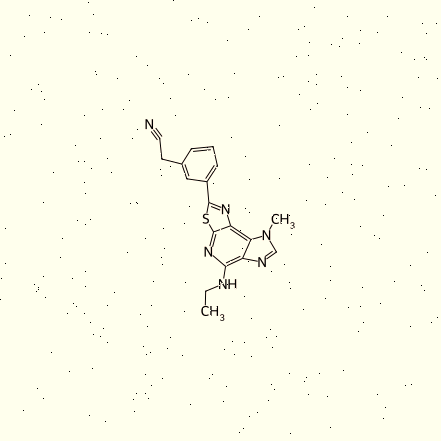 CCNc1nc2sc(-c3cccc(CC#N)c3)nc2c2c1ncn2C